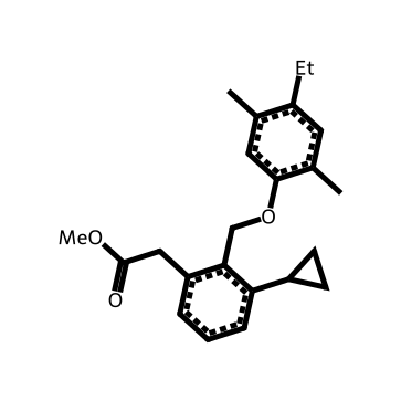 CCc1cc(C)c(OCc2c(CC(=O)OC)cccc2C2CC2)cc1C